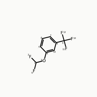 FC(F)Oc1c[c]cc(C(F)(F)F)c1